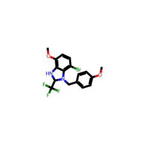 COc1ccc(CN2c3c(Br)ccc(OC)c3NC2C(F)(F)F)cc1